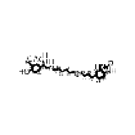 CC(=O)OCc1cc([C@@H](O)CNCCCCCCOCCCCc2ccc3[nH]c(=O)[nH]c3c2)ccc1O